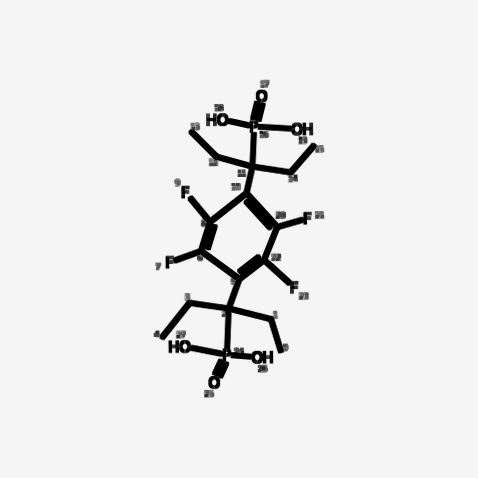 CCC(CC)(c1c(F)c(F)c(C(CC)(CC)P(=O)(O)O)c(F)c1F)P(=O)(O)O